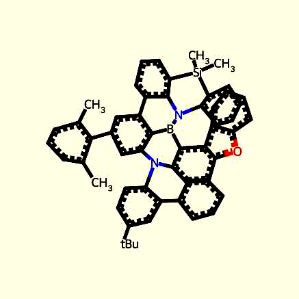 Cc1cccc(C)c1-c1cc2c3c(c1)N(c1ccc(C(C)(C)C)cc1-c1ccccc1)c1ccc4oc5ccccc5c4c1B3N1c3ccccc3[Si](C)(C)c3cccc-2c31